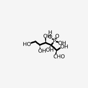 O=C[C@H](O)[C@@](O)([C@H](O)[C@H](O)CO)P(=O)(O)O